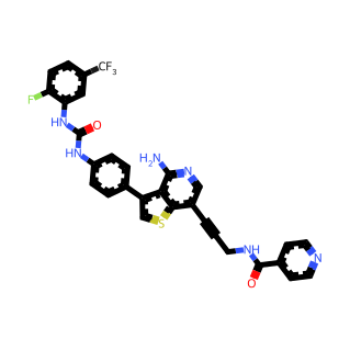 Nc1ncc(C#CCNC(=O)c2ccncc2)c2scc(-c3ccc(NC(=O)Nc4cc(C(F)(F)F)ccc4F)cc3)c12